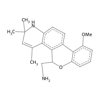 COc1cccc2c1-c1ccc3c(c1C(CN)O2)C(C)=CC(C)(C)N3